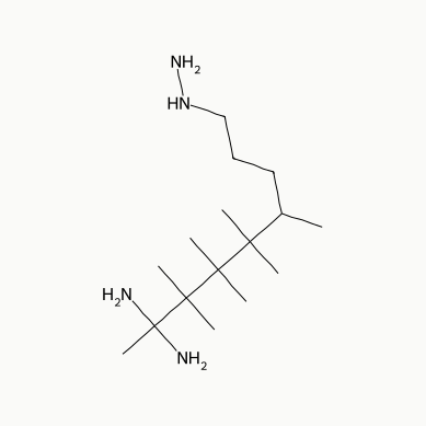 CC(CCCNN)C(C)(C)C(C)(C)C(C)(C)C(C)(N)N